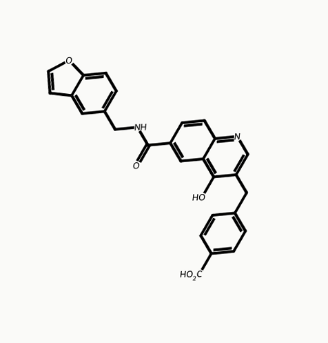 O=C(O)c1ccc(Cc2cnc3ccc(C(=O)NCc4ccc5occc5c4)cc3c2O)cc1